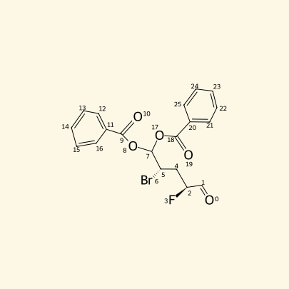 O=C[C@@H](F)C[C@H](Br)C(OC(=O)c1ccccc1)OC(=O)c1ccccc1